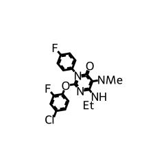 CCNc1nc(Oc2ccc(Cl)cc2F)n(-c2ccc(F)cc2)c(=O)c1NC